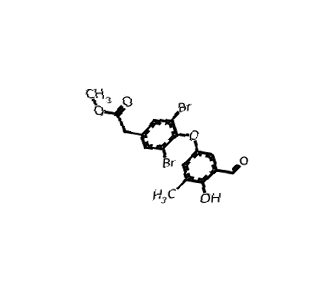 COC(=O)Cc1cc(Br)c(Oc2cc(C)c(O)c(C=O)c2)c(Br)c1